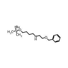 CC(C)(C)[Si](C)(C)OCCCCNCCOCc1ccccc1